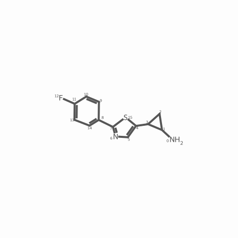 NC1CC1c1cnc(-c2ccc(F)cc2)s1